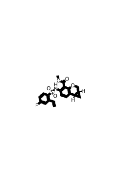 C=Cc1cc(F)ccc1S(=O)(=O)Nc1ccc2c(c1C(=O)OC)OC[C@@H]1C[C@H]21